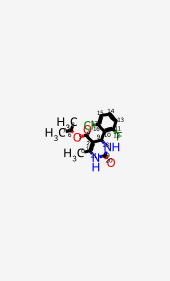 CC1=C(C(=O)OC(C)C)C(c2c(F)cccc2Cl)NC(=O)N1